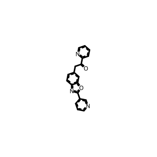 O=C(Cc1ccc2nc(-c3cccnc3)oc2c1)c1ccccn1